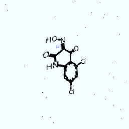 O=C1Nc2cc(Cl)cc(Cl)c2C(=O)/C1=N/O